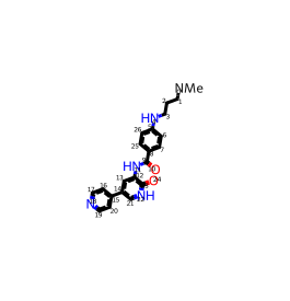 CNCCCNc1ccc(C(=O)Nc2cc(-c3ccncc3)c[nH]c2=O)cc1